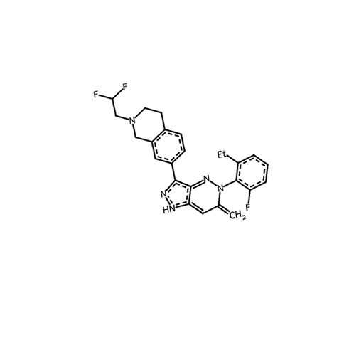 C=C1C=c2[nH]nc(-c3ccc4c(c3)CN(CC(F)F)CC4)c2=NN1c1c(F)cccc1CC